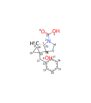 C[C@@H]1N(C(=O)O)CC[C@@]1(O)C1(Cc2ccccc2)CC1